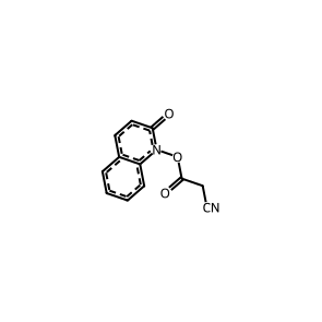 N#CCC(=O)On1c(=O)ccc2ccccc21